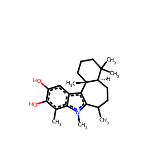 Cc1c(O)c(O)cc2c3c(n(C)c12)C(C)CC[C@@H]1C(C)(C)CCC[C@@]31C